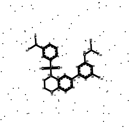 O=S(=O)(c1cccc(C(F)F)c1)N1CCOc2ccc(-c3cc(F)cc(OC(F)F)c3)cc21